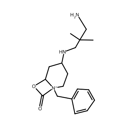 CC(C)(CN)CNC1CC[N+]2(Cc3ccccc3)C(=O)OC2C1